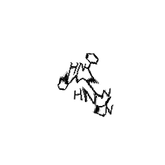 c1ccc(C2CC(c3ncc4nccc-4[nH]3)CC(c3ccccc3)N2)cc1